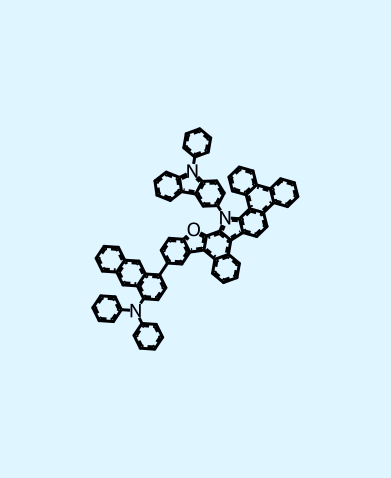 c1ccc(N(c2ccccc2)c2ccc(-c3ccc4oc5c(c4c3)c3ccccc3c3c4ccc6c7ccccc7c7ccccc7c6c4n(-c4ccc6c(c4)c4ccccc4n6-c4ccccc4)c53)c3cc4ccccc4cc23)cc1